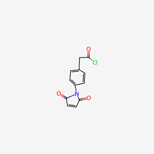 O=C(Cl)Cc1ccc(N2C(=O)C=CC2=O)cc1